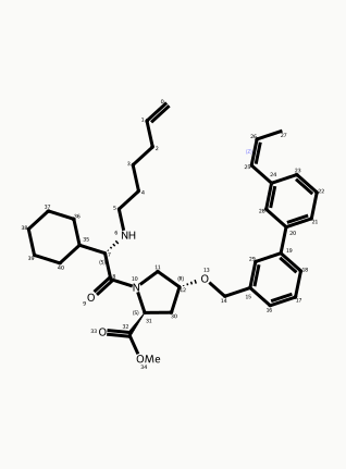 C=CCCCCN[C@H](C(=O)N1C[C@H](OCc2cccc(-c3cccc(/C=C\C)c3)c2)C[C@H]1C(=O)OC)C1CCCCC1